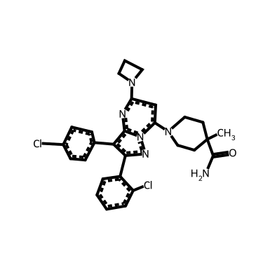 CC1(C(N)=O)CCN(c2cc(N3CCC3)nc3c(-c4ccc(Cl)cc4)c(-c4ccccc4Cl)nn23)CC1